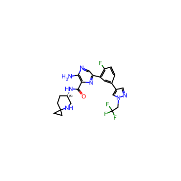 Nc1ncc(-c2cc(-c3cnn(CC(F)(F)F)c3)ccc2F)nc1C(=O)N[C@H]1CCC2(CC2)NC1